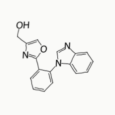 OCc1coc(-c2ccccc2-n2cnc3ccccc32)n1